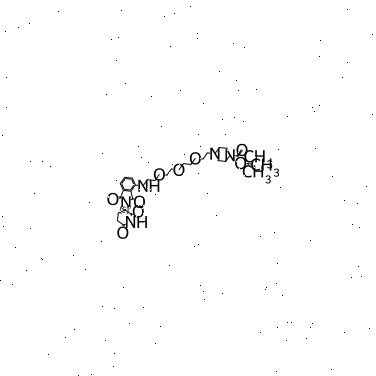 CC(C)(C)OC(=O)N1CCN(CCOCCOCCOCCNc2cccc3c2C(=O)N([C@H]2CCC(=O)NC2=O)C3=O)CC1